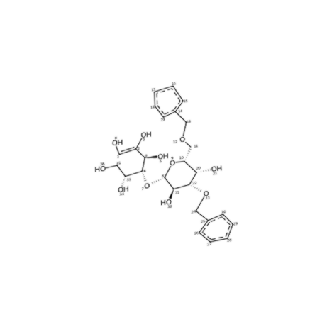 O/C=C(\O)[C@@H](O)[C@H](O[C@@H]1O[C@H](COCc2ccccc2)[C@H](O)[C@H](OCc2ccccc2)[C@H]1O)[C@H](O)CO